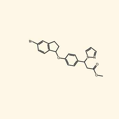 COC(=O)CC(c1ccc(OC2CCc3cc(Br)ccc32)cc1)n1cccn1